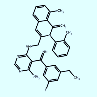 C=C1c2c(C)cccc2C=C(CNc2ncnc(N)c2C(=N)c2cc(F)cc(CC)c2)N1c1ccccc1C